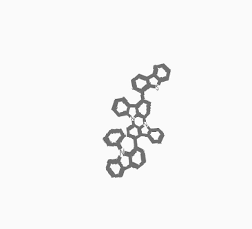 c1ccc(-n2c3ccccc3c3cccc(-c4ccc5c6c4c4ccccc4n6c4ccc(-c6cccc7c6sc6ccccc67)c6c7ccccc7n5c64)c32)cc1